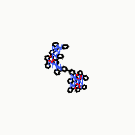 c1ccc(-n2c3ccccc3n3c4ccc5c6ccccc6n(-c6ccccc6-c6cc(-n7c8ccccc8c8ccccc87)nc(-n7c8ccccc8c8cc(-c9ccc%10c%11ccccc%11n(-c%11cccc(-n%12c%13ccccc%13c%13ccccc%13%12)c%11-c%11nc(-n%12c%13ccccc%13c%13ccccc%13%12)nc(-n%12c%13ccccc%13c%13ccccc%13%12)n%11)c%10c9)ccc87)c6)c5c4nc23)cc1